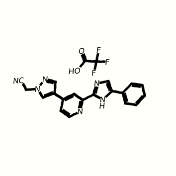 N#CCn1cc(-c2ccnc(-c3ncc(-c4ccccc4)[nH]3)c2)cn1.O=C(O)C(F)(F)F